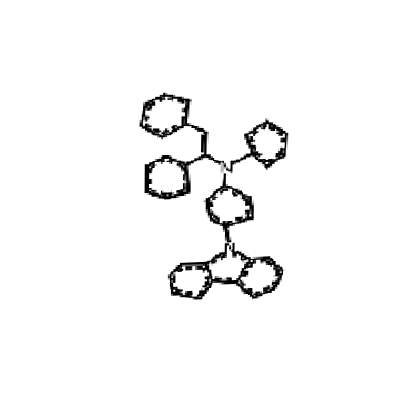 C(=C(c1ccccc1)N(c1ccccc1)c1ccc(-n2c3ccccc3c3ccccc32)cc1)c1ccccc1